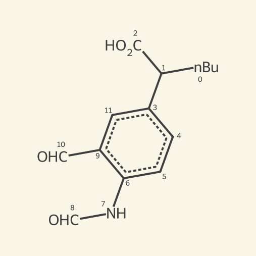 CCCCC(C(=O)O)c1ccc(NC=O)c(C=O)c1